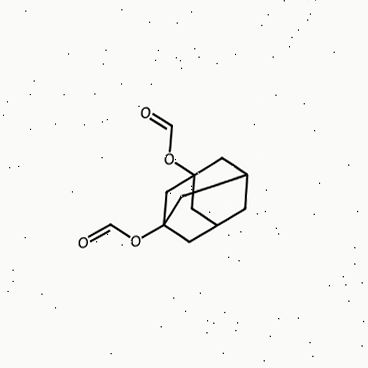 O=COC12CC3CC(C1)CC(OC=O)(C3)C2